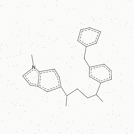 CC(CCC(C)c1ccc2c(ccn2C)c1)c1cccc(Cc2ccccc2)c1